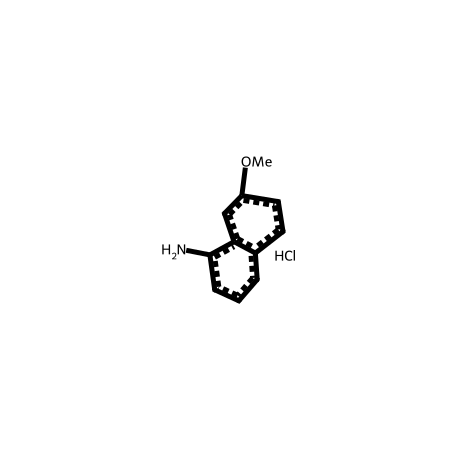 COc1ccc2cccc(N)c2c1.Cl